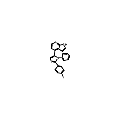 Fc1ccc(-c2ncc(-c3ccnc4[nH]ccc34)n2-c2ccccc2)cc1